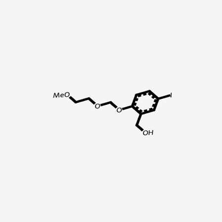 COCCOCOc1ccc(I)cc1CO